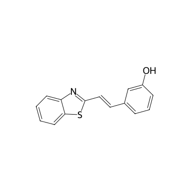 Oc1cccc(/C=C/c2nc3ccccc3s2)c1